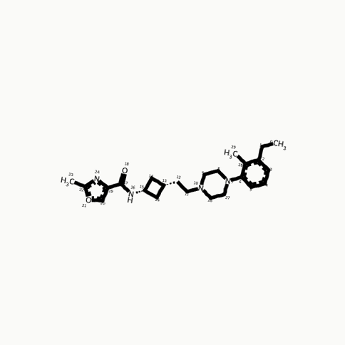 CCc1cccc(N2CCN(CC[C@H]3C[C@@H](NC(=O)c4coc(C)n4)C3)CC2)c1C